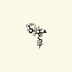 NC(=O)c1cc(NC(=O)c2c(C(F)(F)F)c(C3CC3)nn2CC2CC[C@H](C(F)(F)F)O2)ccn1